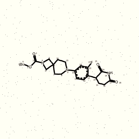 CC(C)(C)OC(=O)N1CC2(CCN(c3ccc(C4CCC(=O)NC4=O)c(F)c3)CC2)C1